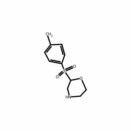 Cc1ccc(S(=O)(=O)C2CNCCO2)cc1